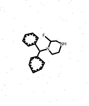 FC1CNCCN1C(c1ccccc1)c1ccccc1